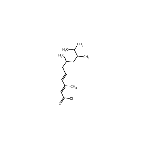 CC(/C=C/CC(C)CC(C)C(C)C)=C\C(=O)Cl